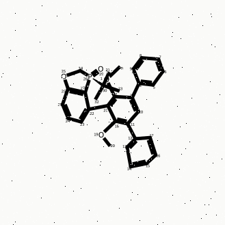 COc1c(-c2ccccc2)cc(-c2ccccc2)c(OC)c1-c1cccc2c1[P@](=O)(C(C)(C)C)CO2